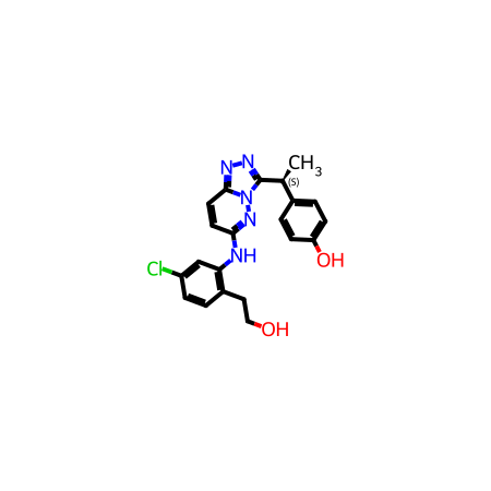 C[C@@H](c1ccc(O)cc1)c1nnc2ccc(Nc3cc(Cl)ccc3CCO)nn12